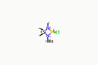 CN1P(Cl)N(C(C)(C)C)[Si]1(C)C